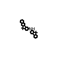 CC1(C)c2ccccc2-c2ccc(Nc3ccc4c(c3)-c3cc5ccccc5cc3C4(C)C)cc21